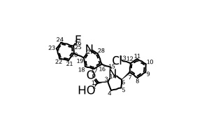 O=C(O)[C@@H]1CC[C@H](c2ccccc2Cl)N1Cc1ccc(-c2ccccc2F)nc1